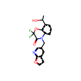 CC(O)c1cccc2c1OC(F)(F)C(=O)N2Cc1cnc2occc2c1